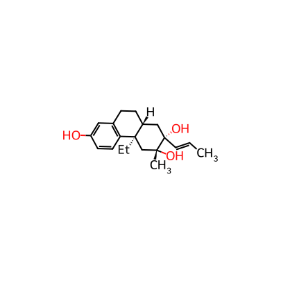 CC=C[C@]1(O)C[C@H]2CCc3cc(O)ccc3[C@]2(CC)C[C@@]1(C)O